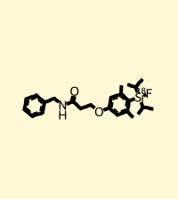 Cc1cc(OCCC(=O)NCc2ccccc2)cc(C)c1[Si]([18F])(C(C)C)C(C)C